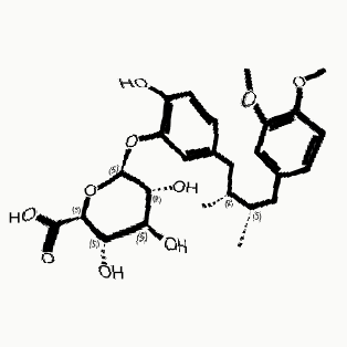 COc1ccc(C[C@H](C)[C@H](C)Cc2ccc(O)c(O[C@@H]3O[C@H](C(=O)O)[C@@H](O)[C@H](O)[C@H]3O)c2)cc1OC